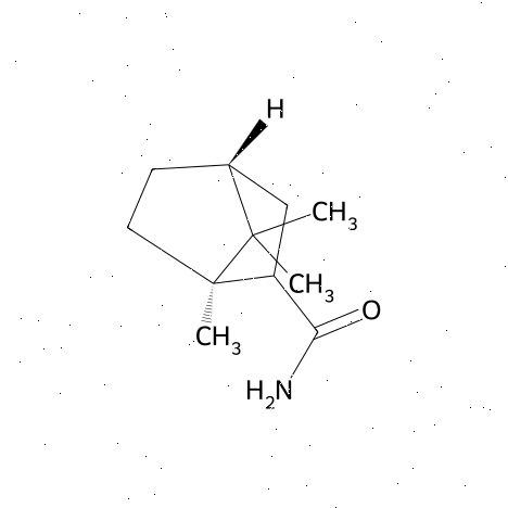 CC1(C)[C@@H]2CC[C@]1(C)C(C(N)=O)C2